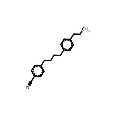 CCCc1ccc(CCCCc2ccc(C#N)cc2)cc1